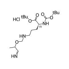 CC(C=N)OCNCCC[C@H](NC(=O)OC(C)(C)C)C(=O)OC(C)(C)C.Cl